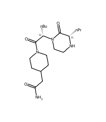 CCCC[C@@H](C(=O)N1CCC(CC(N)=O)CC1)N1CCN[C@@H](CCC)C1=O